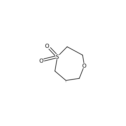 O=S1(=O)C[CH]COCC1